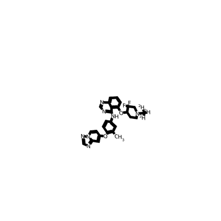 [2H]C([2H])([2H])N1CCC(Oc2cccc3ncnc(Nc4ccc(Oc5ccn6ncnc6c5)c(C)c4)c23)C(F)(F)C1